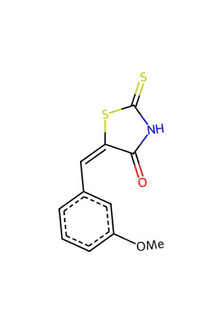 COc1cccc(C=C2SC(=S)NC2=O)c1